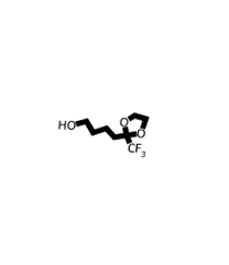 OCCCCC1(C(F)(F)F)OCCO1